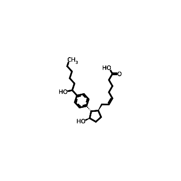 CCCCCC(O)c1ccc([C@@H]2[C@@H](C/C=C\CCCC(=O)O)CC[C@H]2O)cc1